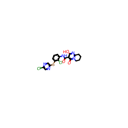 O=C(Nc1cccc(Sc2cnc(Cl)cn2)c1Cl)c1c(O)nc2n(c1=O)CCCC2